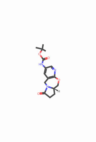 CC(C)(C)OC(=O)Nc1cnc2c(c1)CN1C(=O)CC[C@H]1CO2